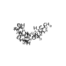 Cc1cccc(N2CCN(C(=O)Cn3nc(C(=O)N4CC[C@@H](O)[C@H](F)C4)c4c3C[C@H]3C[C@@H]43)C3(CC3)C2)c1C